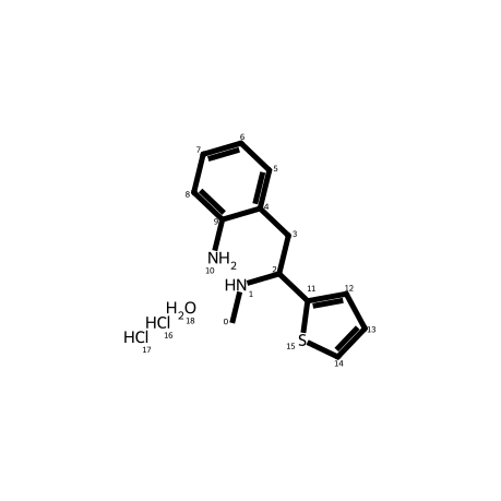 CNC(Cc1ccccc1N)c1cccs1.Cl.Cl.O